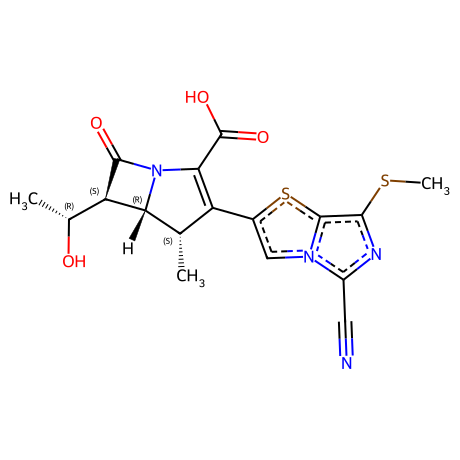 CSc1nc(C#N)n2cc(C3=C(C(=O)O)N4C(=O)[C@H]([C@@H](C)O)[C@H]4[C@H]3C)sc12